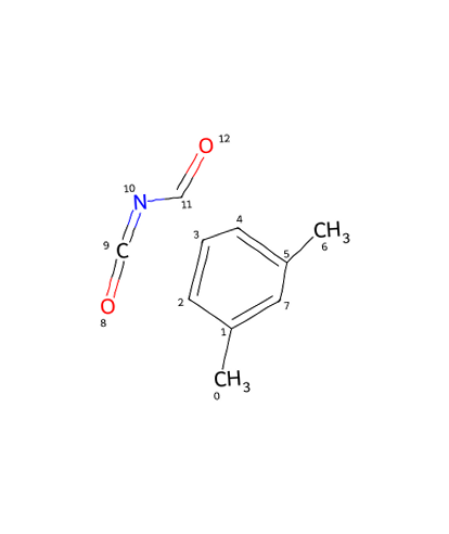 Cc1cccc(C)c1.O=C=NC=O